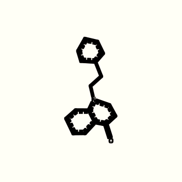 O=c1ccn(CCc2ccccc2)c2ccccc12